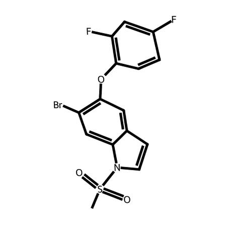 CS(=O)(=O)n1ccc2cc(Oc3ccc(F)cc3F)c(Br)cc21